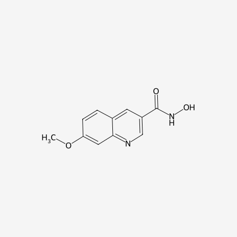 COc1ccc2cc(C(=O)NO)cnc2c1